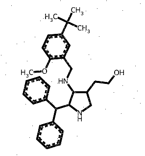 COc1ccc(C(C)(C)C)cc1CNC1C(CCO)CNC1C(c1ccccc1)c1ccccc1